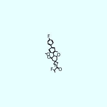 COc1cc(-c2ccc(F)cc2)cc(C)c1C1C(=O)CC2(CC1=O)CN(C(=O)C(C)F)C2